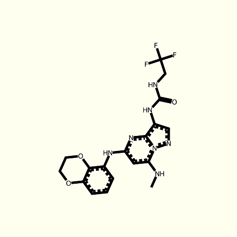 CNc1cc(Nc2cccc3c2OCCO3)nc2c(NC(=O)NCC(F)(F)F)cnn12